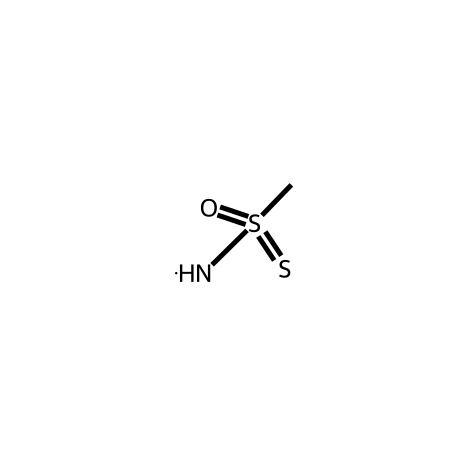 CS([NH])(=O)=S